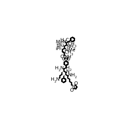 CNC([C@H](/C=C(\C)C(=O)NS(=O)(=O)c1ccc(CC(N)[C@@H](CCCCN)C(N)[C@@H](Cc2ccccc2)C(N)CCCCCN2C(=O)C=CC2=O)cc1)C(C)C)[C@@H](C(N)[C@@H](NC)C(C)(C)c1ccccc1)C(C)(C)C